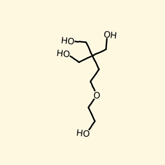 OCCOCCC(CO)(CO)CO